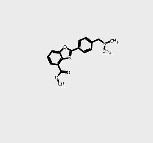 COC(=O)c1cccc2oc(-c3ccc(CN(C)C)cc3)nc12